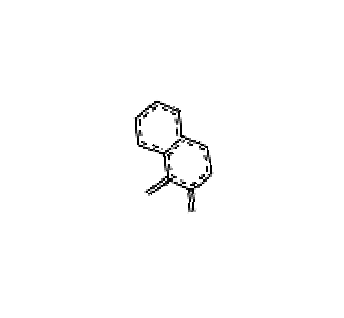 C=c1ccc2ccccc2c1=C